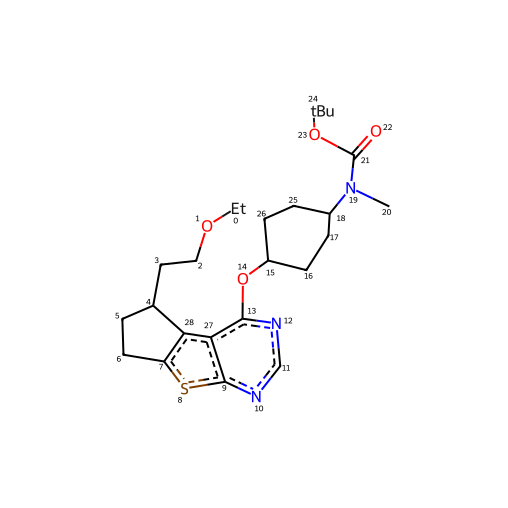 CCOCCC1CCc2sc3ncnc(OC4CCC(N(C)C(=O)OC(C)(C)C)CC4)c3c21